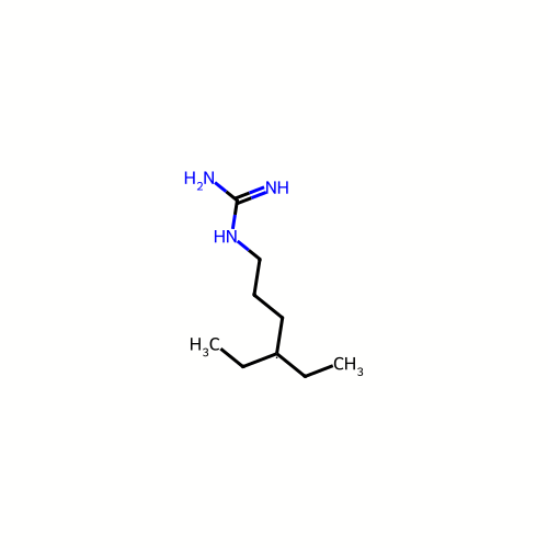 CC[C](CC)CCCNC(=N)N